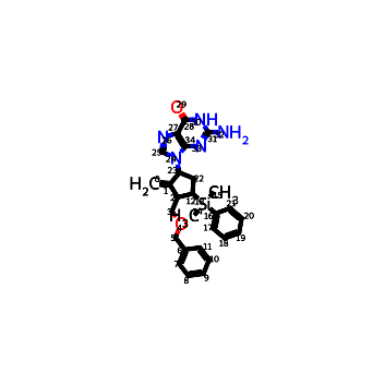 C=C1C(COCc2ccccc2)C([Si](C)(C)c2ccccc2)CC1n1cnc2c(=O)[nH]c(N)nc21